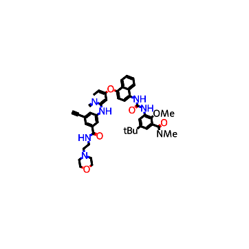 C#Cc1cc(N/C(=C/C(=C\C)Oc2ccc(NC(=O)Nc3cc(C(C)(C)C)cc(C(=O)NC)c3OC)c3ccccc23)N=C)cc(C(=O)NCCN2CCOCC2)c1